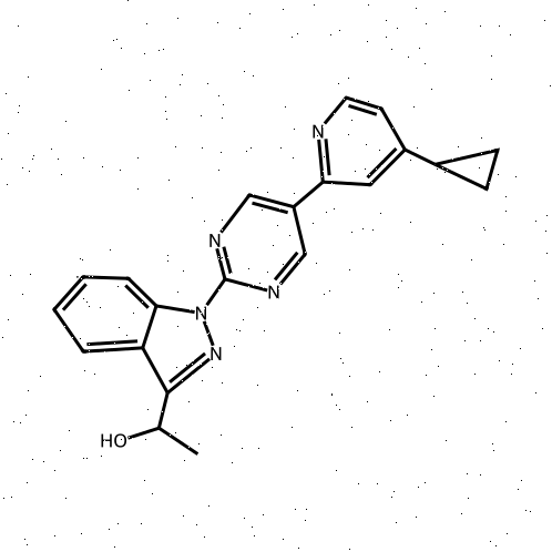 CC(O)c1nn(-c2ncc(-c3cc(C4CC4)ccn3)cn2)c2c[c]ccc12